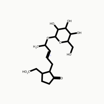 CC(/C=C/CC1C(=O)CCC1CC(=O)O)OC1OC(CO)C(O)C(O)C1O